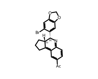 CC(=O)c1ccc2c(c1)=C1CCC[C@@H]1[C@H](c1cc3c(cc1Br)OCO3)N=2